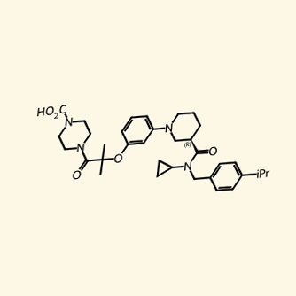 CC(C)c1ccc(CN(C(=O)[C@@H]2CCCN(c3cccc(OC(C)(C)C(=O)N4CCN(C(=O)O)CC4)c3)C2)C2CC2)cc1